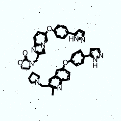 Cc1nc2ccc(Oc3ccc(-c4ccn[nH]4)cc3)cc2cc1CN1CCCC1.O=C1OCCN1Cc1cn2cc(Oc3ccc(-c4ccn[nH]4)cc3)ccc2n1